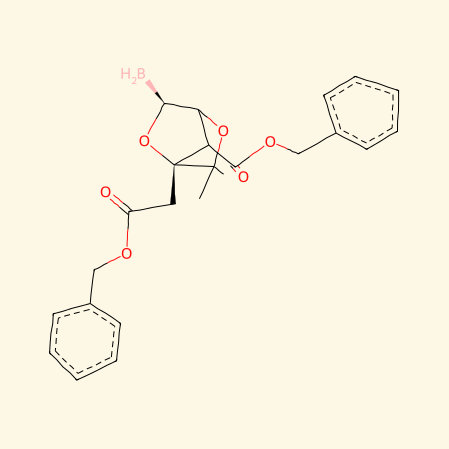 B[C@@H]1O[C@]2(CC(=O)OCc3ccccc3)C(C(=O)OCc3ccccc3)C1OC2(C)C